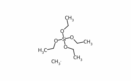 CCO[Si](OCC)(OCC)OCC.[CH3]